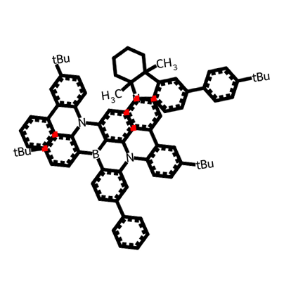 CC(C)(C)c1ccc(-c2ccc3c(c2)C2(C)CCCCC2(C)N3c2cc3c4c(c2)N(c2ccc(C(C)(C)C)cc2-c2ccccc2)c2cc(C(C)(C)C)ccc2B4c2ccc(-c4ccccc4)cc2N3c2ccc(C(C)(C)C)cc2-c2ccccc2)cc1